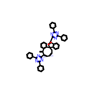 C=C1/C(c2nc(-c3ccccc3)nc(-c3ccccc3)n2)=C\C=C/CC2(c3ccccc31)c1ccccc1-c1c(-c3nc(-c4ccccc4)nc(-c4ccccc4)n3)cccc12